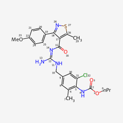 CCCOC(=O)Nc1c(C)cc(CN/C(N)=N\C(=O)c2c(-c3ccc(OC)cc3)nsc2C)cc1Cl